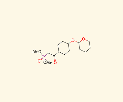 COP(=O)(CC(=O)C1CCC(OC2CCCCO2)CC1)OC